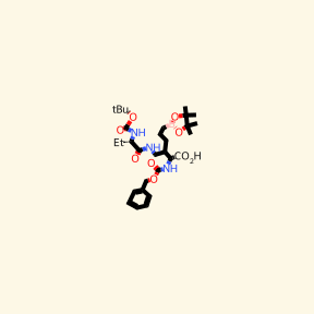 CC[C@H](NC(=O)OC(C)(C)C)C(=O)NCC(CCCB1OC(C)(C)C(C)(C)O1)C(NC(=O)OCc1ccccc1)C(=O)O